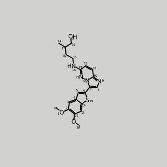 COc1cc2cc(-c3cnc4ccc(NCCC(C)CO)nn34)sc2cc1OC